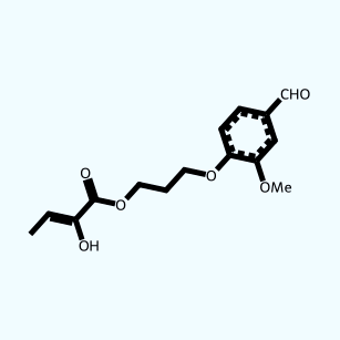 CC=C(O)C(=O)OCCCOc1ccc(C=O)cc1OC